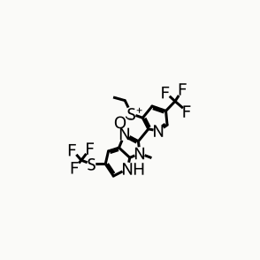 CC[S+]([O-])c1cc(C(F)(F)F)cnc1C1=NC2=CC(SC(F)(F)F)=CNC2N1C